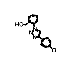 OCc1ccccc1-n1cc(-c2ccc(Cl)cc2)nn1